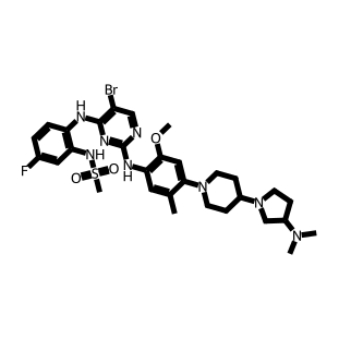 COc1cc(N2CCC(N3CCC(N(C)C)C3)CC2)c(C)cc1Nc1ncc(Br)c(Nc2ccc(F)cc2NS(C)(=O)=O)n1